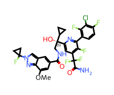 COc1cc(C(=O)NC[C@](O)(c2cc(C(F)(F)C(N)=O)c(F)c(-c3ccc(F)c(Cl)c3F)n2)C2CC2)cc2cn(C3(F)CC3)nc12